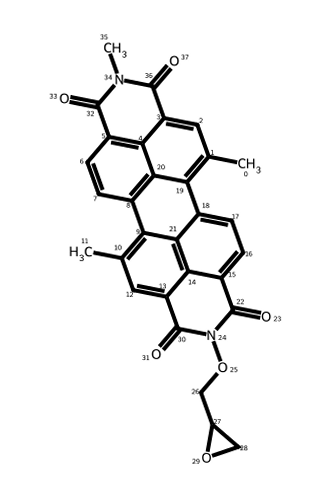 Cc1cc2c3c(ccc4c5c(C)cc6c7c(ccc(c1c34)c75)C(=O)N(OCC1CO1)C6=O)C(=O)N(C)C2=O